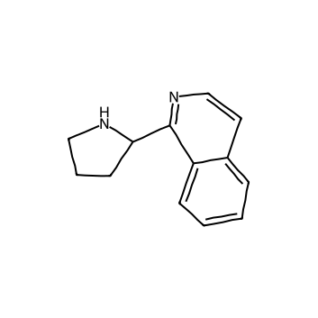 c1ccc2c(C3CCCN3)nccc2c1